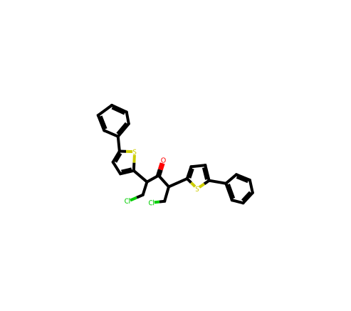 O=C(C(CCl)c1ccc(-c2ccccc2)s1)C(CCl)c1ccc(-c2ccccc2)s1